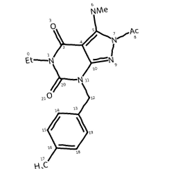 CCn1c(=O)c2c(NC)n(C(C)=O)nc2n(Cc2ccc(C)cc2)c1=O